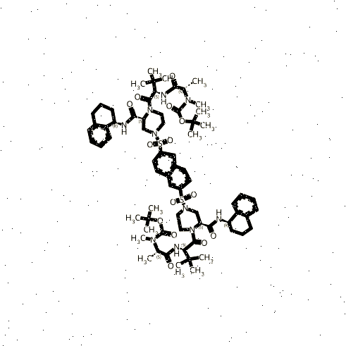 C[C@@H](C(=O)N[C@H](C(=O)N1CCN(S(=O)(=O)c2ccc3cc(S(=O)(=O)N4CCN(C(=O)[C@@H](NC(=O)[C@H](C)N(C)C(=O)OC(C)(C)C)C(C)(C)C)[C@H](C(=O)N[C@@H]5CCCc6ccccc65)C4)ccc3c2)C[C@H]1C(=O)N[C@@H]1CCCc2ccccc21)C(C)(C)C)N(C)C(=O)OC(C)(C)C